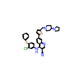 N#Cc1cnc2cc(-c3ccc(CN4CCC(N5CCCC5)CC4)s3)ccc2c1Nc1ccc(Sc2ccccc2)c(Cl)c1